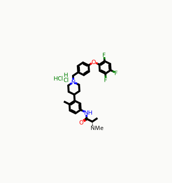 CN[C@@H](C)C(=O)Nc1ccc(C)c(C2CCN(Cc3ccc(Oc4cc(F)c(F)cc4F)cc3)CC2)c1.Cl.Cl